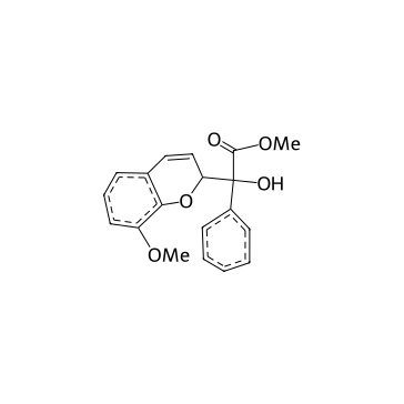 COC(=O)C(O)(c1ccccc1)C1C=Cc2cccc(OC)c2O1